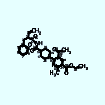 C=CC(Cc1ccccc1)S(=O)(=O)NC(=O)C1CCN(c2nc(C)c(C(=O)OCC)cc2C(C)=O)CC1